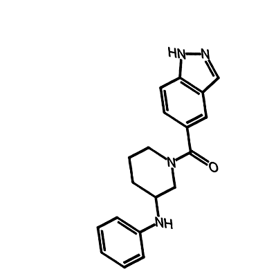 O=C(c1ccc2[nH]ncc2c1)N1CCCC(Nc2ccccc2)C1